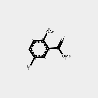 COC(=O)c1cc(Br)ccc1OC(C)=O